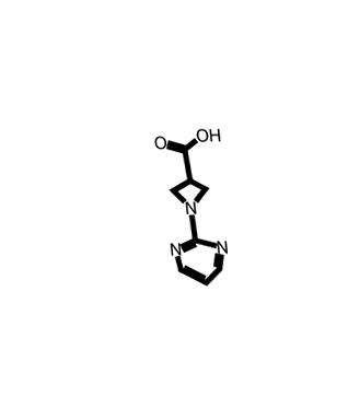 O=C(O)C1CN(c2ncccn2)C1